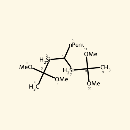 CCCCCC([SiH2]C(C)(OC)OC)[SiH2]C(C)(OC)OC